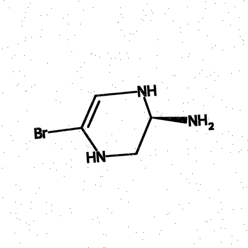 N[C@H]1CNC(Br)=CN1